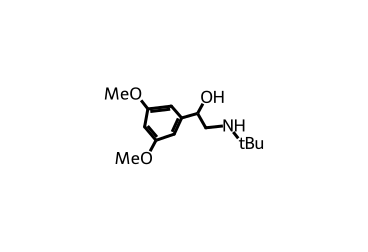 COc1cc(OC)cc(C(O)CNC(C)(C)C)c1